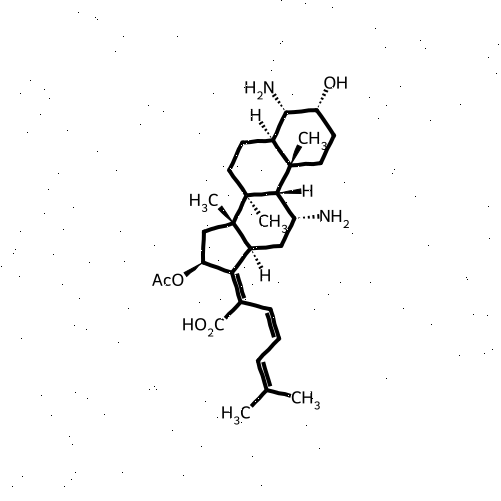 CC(=O)O[C@H]1C[C@@]2(C)[C@@H](C[C@@H](N)[C@H]3[C@@]4(C)CC[C@@H](O)[C@@H](N)[C@@H]4CC[C@@]32C)/C1=C(\C=C/C=C(C)C)C(=O)O